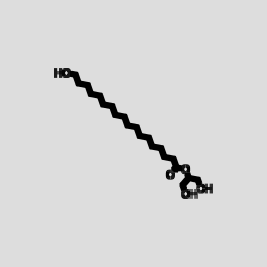 O=C(CCCCCCCCCCCCCCCCCO)OC(CO)CO